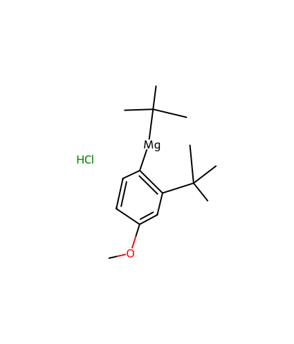 COc1cc[c]([Mg][C](C)(C)C)c(C(C)(C)C)c1.Cl